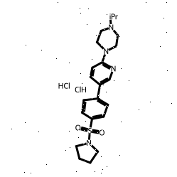 CC(C)N1CCN(c2ccc(-c3ccc(S(=O)(=O)N4CCCC4)cc3)cn2)CC1.Cl.Cl